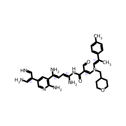 C/C(=C\N(/C=C(\C=O)C(=O)N/C(N)=C/C=C(\N)c1cc(/C(C=N)=C/N)cnc1N)CC1CCOCC1)c1ccc(C)cc1